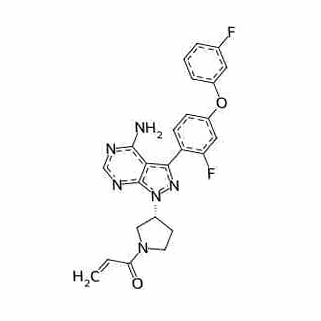 C=CC(=O)N1CC[C@@H](n2nc(-c3ccc(Oc4cccc(F)c4)cc3F)c3c(N)ncnc32)C1